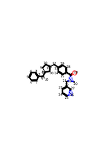 C[C@H](c1ccccc1)[C@H]1CC[C@@H](Cc2ccc(C(=O)N(C)Cc3cccnc3)cc2)C1